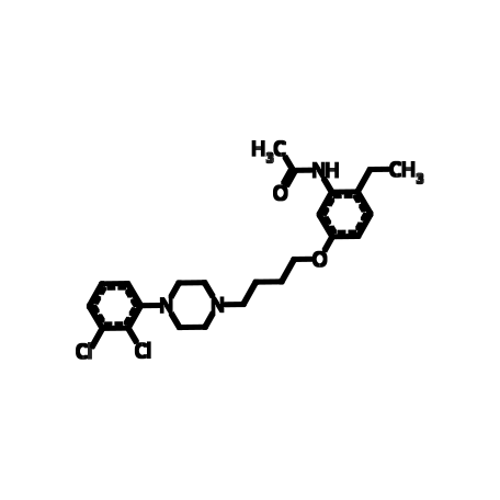 CCc1ccc(OCCCCN2CCN(c3cccc(Cl)c3Cl)CC2)cc1NC(C)=O